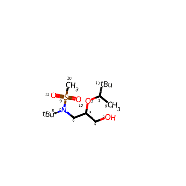 CC(OC(CO)CN(C(C)(C)C)S(C)(=O)=O)C(C)(C)C